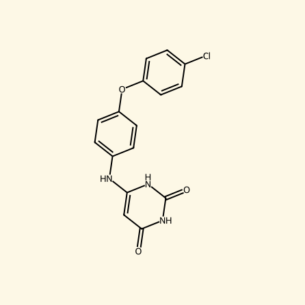 O=c1cc(Nc2ccc(Oc3ccc(Cl)cc3)cc2)[nH]c(=O)[nH]1